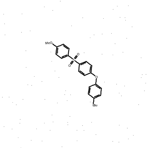 COc1ccc(S(=O)(=O)c2ccc(Oc3ccc(C(C)(C)C)cc3)cc2)cc1